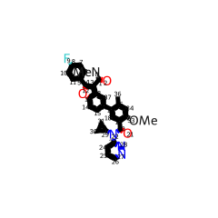 CNC(=O)c1c(-c2ccc(F)cc2)oc2ccc(-c3cc(C(=O)N(c4cccnn4)C4CC4)c(OC)cc3C)cc12